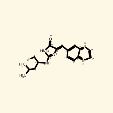 CC(C)CC(CF)NC1=N/C(=C\c2ccc3nccnc3c2)C(=O)N1